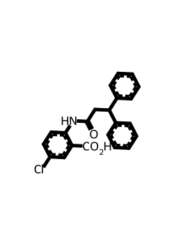 O=C(CC(c1ccccc1)c1ccccc1)Nc1ccc(Cl)cc1C(=O)O